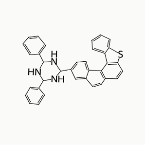 c1ccc(C2NC(c3ccccc3)NC(c3ccc4c(ccc5ccc6sc7ccccc7c6c54)c3)N2)cc1